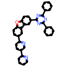 c1ccc(-c2nc(-c3ccccc3)nc(-c3ccc4oc5ccc(-c6ccc(-c7ccccn7)cn6)cc5c4c3)n2)cc1